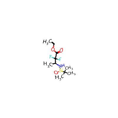 CCOC(=O)C(F)(F)C(C)N[S@+]([O-])C(C)(C)C